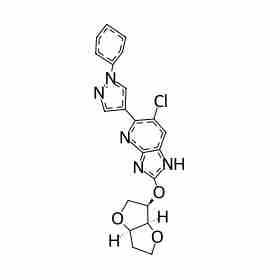 Clc1cc2[nH]c(O[C@@H]3CO[C@@H]4CCO[C@@H]43)nc2nc1-c1cnn(-c2ccccc2)c1